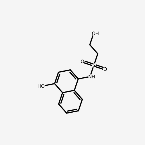 O=S(=O)(CCO)Nc1ccc(O)c2ccccc12